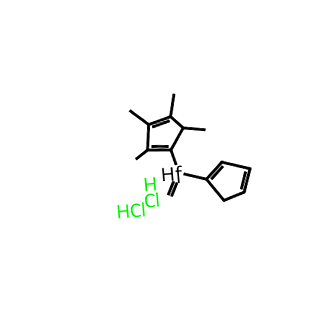 Cl.Cl.[CH2]=[Hf]([C]1=CC=CC1)[C]1=C(C)C(C)=C(C)C1C